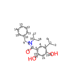 CC(C)c1cc(C(=O)N(Cc2ccccc2)C(C)C)c(O)cc1O